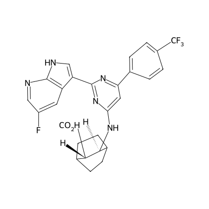 O=C(O)[C@H]1C2CCC(CC2)[C@@H]1Nc1cc(-c2ccc(C(F)(F)F)cc2)nc(-c2c[nH]c3ncc(F)cc23)n1